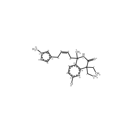 CCC1(CC)C(=O)NC(C)(C/C=C\Cc2cnn(C)c2)c2ccc(Cl)nc21